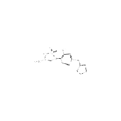 O=CC1CN(c2ccc(CC3CCCC3)cc2O)S(=O)(=O)N1